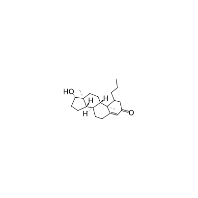 CCCC1CC(=O)C=C2CC[C@H]3[C@@H]4CC[C@H](O)[C@@]4(C)CC[C@@H]3[C@]21C